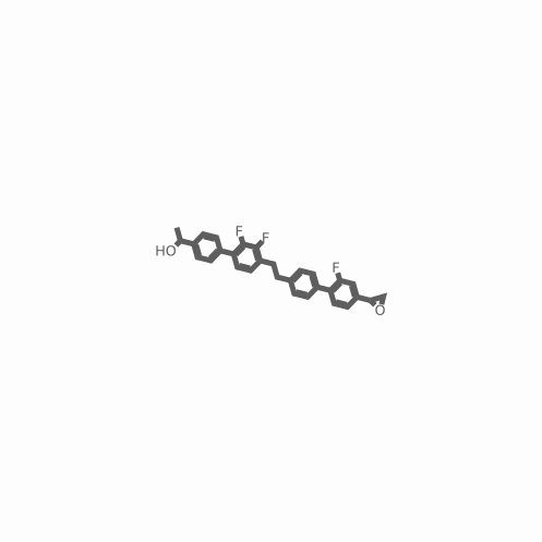 CC(O)c1ccc(-c2ccc(CCc3ccc(-c4ccc(C5CO5)cc4F)cc3)c(F)c2F)cc1